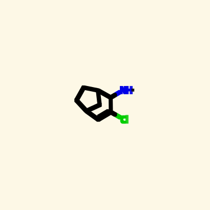 [NH]C1C(Cl)=CC2CCC1C2